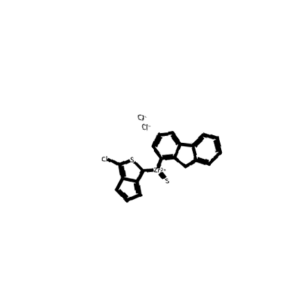 [Cl-].[Cl-].[S]=[Zr+2]([c]1cccc2c1Cc1ccccc1-2)[CH]1SC(Cl)=C2C=CC=C21